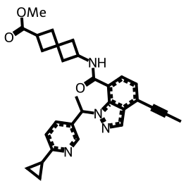 CC#Cc1ccc(C(=O)NC2CC3(C2)CC(C(=O)OC)C3)c2c1cnn2C(C)c1ccc(C2CC2)nc1